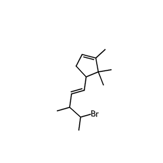 CC1=CCC(/C=C/C(C)C(C)Br)C1(C)C